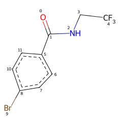 O=C(NCC(F)(F)F)c1ccc(Br)cc1